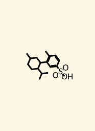 Cc1ccc(S(=O)(=O)O)cc1C1CC(C)CCC1C(C)C